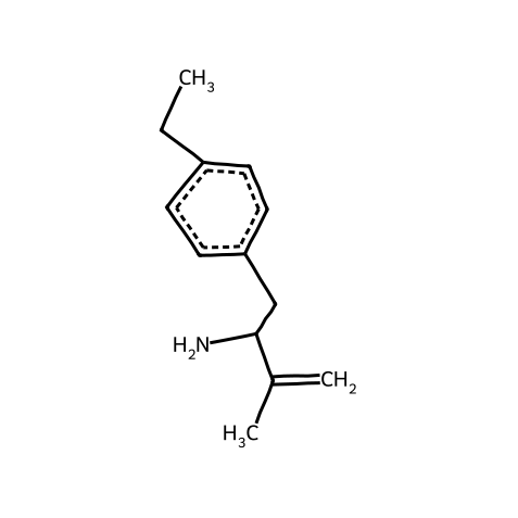 C=C(C)C(N)Cc1ccc(CC)cc1